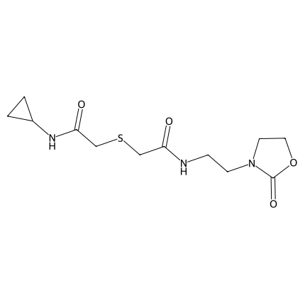 O=C(CSCC(=O)NC1CC1)NCCN1CCOC1=O